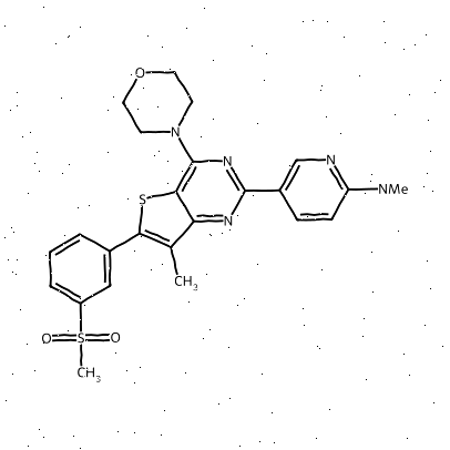 CNc1ccc(-c2nc(N3CCOCC3)c3sc(-c4cccc(S(C)(=O)=O)c4)c(C)c3n2)cn1